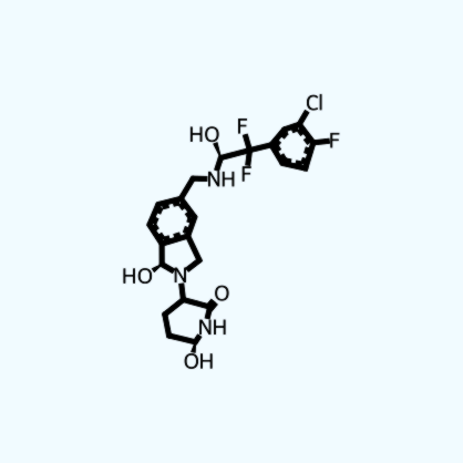 O=C1N[C@@H](O)CCC1N1Cc2cc(CN[C@@H](O)C(F)(F)c3ccc(F)c(Cl)c3)ccc2[C@@H]1O